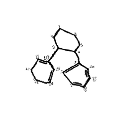 [c]1ccc(C2CCCCC2C2=CC[CH]C=C2)cc1